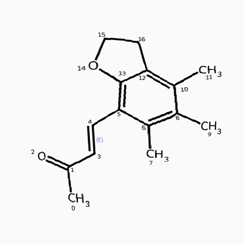 CC(=O)/C=C/c1c(C)c(C)c(C)c2c1OCC2